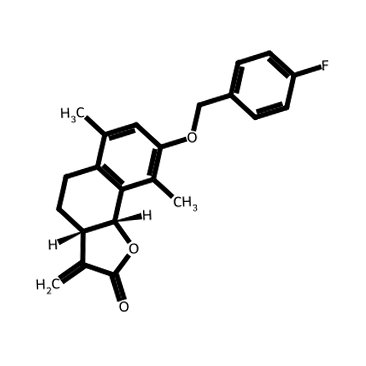 C=C1C(=O)O[C@H]2c3c(C)c(OCc4ccc(F)cc4)cc(C)c3CC[C@@H]12